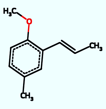 CC=Cc1cc(C)ccc1OC